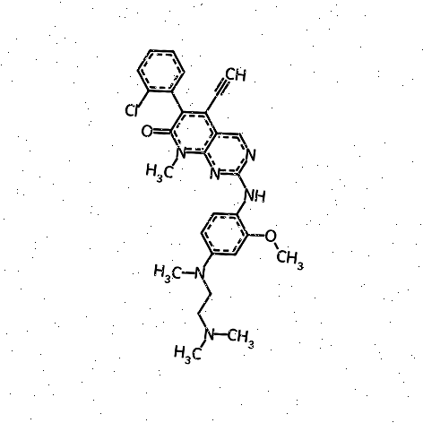 C#Cc1c(-c2ccccc2Cl)c(=O)n(C)c2nc(Nc3ccc(N(C)CCN(C)C)cc3OC)ncc12